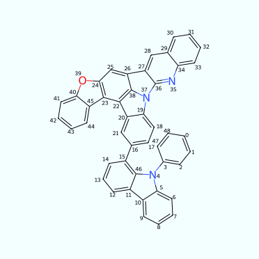 c1ccc(-n2c3ccccc3c3cccc(-c4ccc5c(c4)c4c6c(cc7c8cc9ccccc9nc8n5c74)oc4ccccc46)c32)cc1